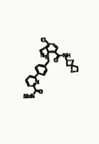 CNC(=O)c1cccc(-c2ccc(Cn3ncc4c(Cl)ccc(C(=O)NC5CC6(CCC6)C5)c43)cc2)n1